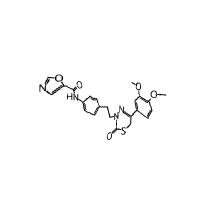 COc1ccc(C2=NN(CCc3ccc(NC(=O)c4cnco4)cc3)C(=O)SC2)cc1OC